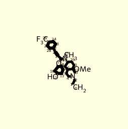 C=CCN1CC[C@@]2(c3cccc(O)c3)C[C@@H](N(C)C(=O)C#Cc3ccc(C(F)(F)F)cc3)CC[C@]2(OC)C1